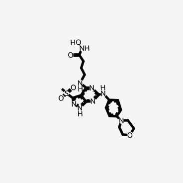 CS(=O)(=O)c1n[nH]c2nc(Nc3ccc(N4CCOCC4)cc3)nc(NCCCC(=O)NO)c12